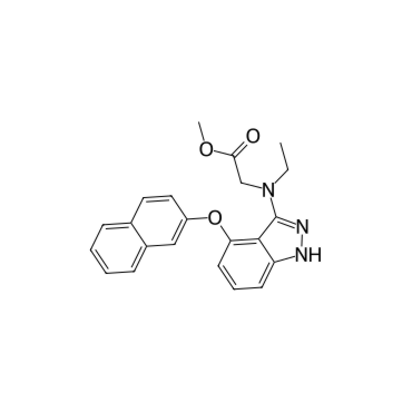 CCN(CC(=O)OC)c1n[nH]c2cccc(Oc3ccc4ccccc4c3)c12